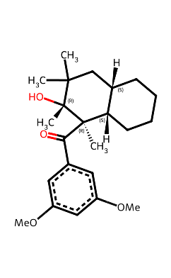 COc1cc(OC)cc(C(=O)[C@]2(C)[C@H]3CCCC[C@H]3CC(C)(C)[C@@]2(C)O)c1